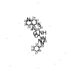 CN1C(=O)C(NC(=O)c2ncn(Cc3ccccc3)n2)CSc2ccc3ncccc3c21